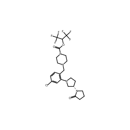 O=C(OC(C(F)(F)F)C(F)(F)F)N1CCN(Cc2ccc(Cl)cc2N2CC[C@H](N3CCCC3=O)C2)CC1